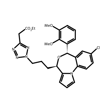 CCOC(=O)Cc1nnn(CCC[C@H]2O[C@H](c3cccc(OC)c3OC)c3cc(Cl)ccc3-n3cccc32)n1